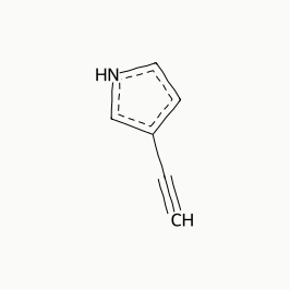 C#Cc1cc[nH]c1